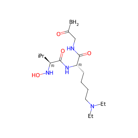 BC(=O)CNC(=O)[C@H](CCCCN(CC)CC)NC(=O)[C@@H](NO)C(C)C